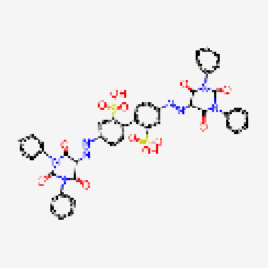 O=C1C(N=Nc2ccc(-c3ccc(N=NC4C(=O)N(c5ccccc5)C(=O)N(c5ccccc5)C4=O)cc3S(=O)(=O)O)c(S(=O)(=O)O)c2)C(=O)N(c2ccccc2)C(=O)N1c1ccccc1